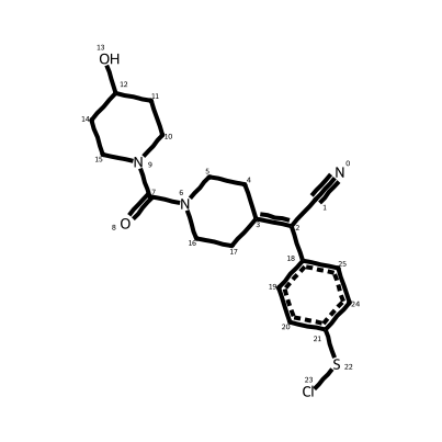 N#CC(=C1CCN(C(=O)N2CCC(O)CC2)CC1)c1ccc(SCl)cc1